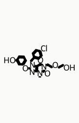 Cn1c(=O)n(CCOCCO)c(=O)c2c1nc(Oc1cccc(O)c1)n2Cc1ccc(Cl)cc1